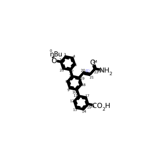 CCCCOc1cccc(-c2ccc(-c3cccc(C(=O)O)c3)cc2/C=C/C(N)=O)c1